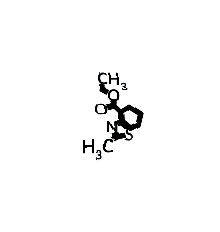 CCOC(=O)C1CCCc2sc(C)nc21